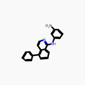 O=[N+]([O-])c1cccc(Nc2nccc3c(-c4ccccc4)cccc23)c1